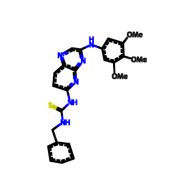 COc1cc(Nc2cnc3ccc(NC(=S)NCc4ccccc4)nc3n2)cc(OC)c1OC